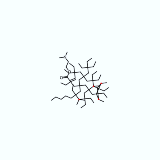 CCCCCC(CC)(CC)CC(CC(CC(CC)(CC)CC)(CC(CC)(CC)CC)CC(CC)(CC)CC)(CC(CC(CC)(CC)CC)(CC(CC)(CC)CC)CC(CC)(CC)CC)CC(C)(CC)C(=O)OCCN(C)C